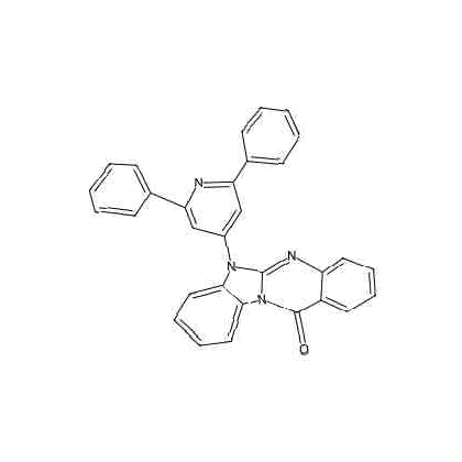 O=c1c2ccccc2nc2n(-c3cc(-c4ccccc4)nc(-c4ccccc4)c3)c3ccccc3n12